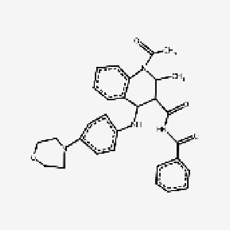 CC(=O)N1c2ccccc2C(Nc2ccc(N3CCOCC3)cc2)C(C(=O)NC(=O)c2ccccc2)C1C